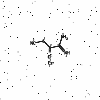 N#CSNC(=N)N.[Cl-].[Cs+]